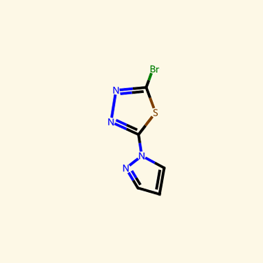 Brc1nnc(-n2cccn2)s1